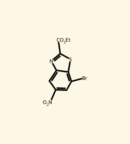 CCOC(=O)c1nc2cc([N+](=O)[O-])cc(Br)c2s1